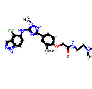 COc1cc(-c2nc(Nc3ccc4[nH]ncc4c3Cl)n(C)n2)ccc1OCC(=O)NCCN(C)C